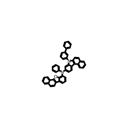 c1ccc(-c2cccc(-n3c4cc(N(c5ccccc5)c5cccc6c5oc5c7ccccc7ccc65)ccc4c4c5ccccc5ccc43)c2)cc1